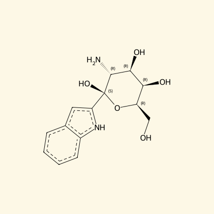 N[C@@H]1[C@@H](O)[C@@H](O)[C@@H](CO)O[C@]1(O)c1cc2ccccc2[nH]1